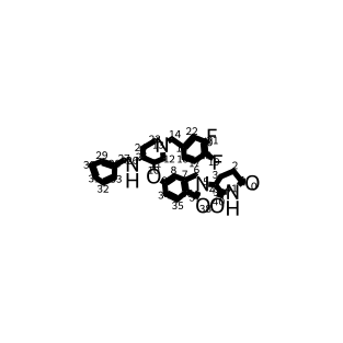 O=C1CCC(N2Cc3cc(O[C@@H]4CN(Cc5ccc(F)c(F)c5)CC[C@H]4NCc4ccccc4)ccc3C2=O)C(=O)N1